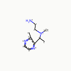 CCN(CCN)C(C)c1nccnc1C